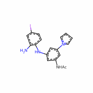 CC(=O)Nc1cc(Nc2ccc(I)cc2N)cc(-n2cccc2)c1